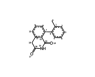 Cc1ccccc1-c1cccc2c1C(=O)NC(=O)C2